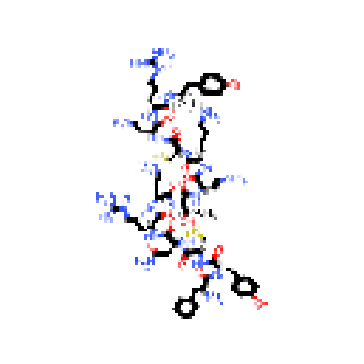 C[C@@H](O)[C@H](NC(=O)[C@H](CCN)NC(=O)[C@H](CCCNC(=N)N)NC(=O)[C@H](CC(N)=O)NC(=O)[C@H](CS)NC(=O)[C@H](Cc1ccc(O)cc1)NC(=O)[C@@H](N)Cc1ccccc1)C(=O)N[C@H](CCN)C(=O)N[C@@H](CCCCN)C(=O)N[C@@H](CS)C(=O)N[C@@H](CCN)C(=O)N[C@@H](CCCNC(=N)N)C(=O)N[C@@H](Cc1ccc(O)cc1)C(=O)O